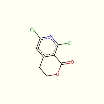 O=C1OCCc2cc(Cl)nc(Cl)c21